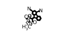 CCN1C(=O)C(=C2c3ccccc3-c3c(C#N)cc(C#N)cc32)C(=O)N(CC)C1=S